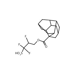 O=C(OCC(F)C(F)(F)S(=O)(=O)O)C12CC3CC4C5CC(CC41)CC2C5C3